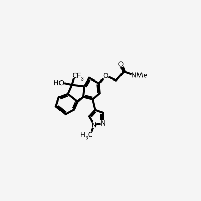 CNC(=O)COc1cc(-c2cnn(C)c2)c2c(c1)C(O)(C(F)(F)F)c1ccccc1-2